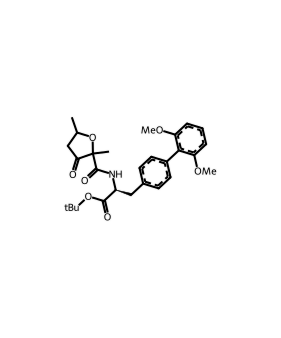 COc1cccc(OC)c1-c1ccc(C[C@H](NC(=O)C2(C)OC(C)CC2=O)C(=O)OC(C)(C)C)cc1